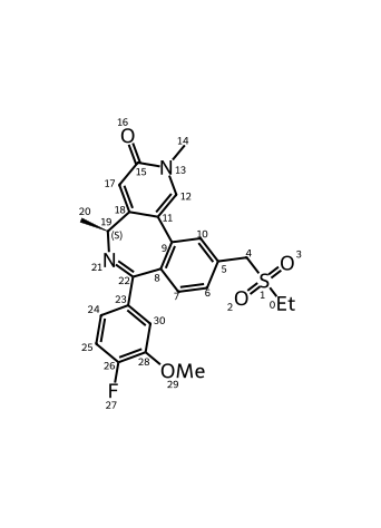 CCS(=O)(=O)Cc1ccc2c(c1)-c1cn(C)c(=O)cc1[C@H](C)N=C2c1ccc(F)c(OC)c1